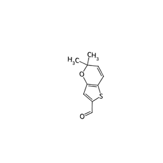 CC1(C)C=Cc2sc(C=O)cc2O1